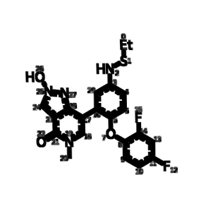 CCSNc1ccc(Oc2ccc(F)cc2F)c(-c2cn(C)c(=O)c3cn(O)nc23)c1